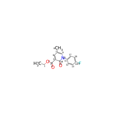 CCOC(=O)c1cc(C)cn(-c2ccc(F)cc2)c1=O